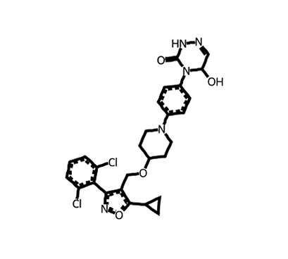 O=C1NN=CC(O)N1c1ccc(N2CCC(OCc3c(-c4c(Cl)cccc4Cl)noc3C3CC3)CC2)cc1